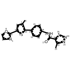 Cc1cc(-c2ncco2)sc1-c1ccc(NC(=O)c2snnc2C)cc1